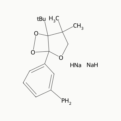 CC(C)(C)C12OOC1(c1cccc(P)c1)OCC2(C)C.[NaH].[NaH]